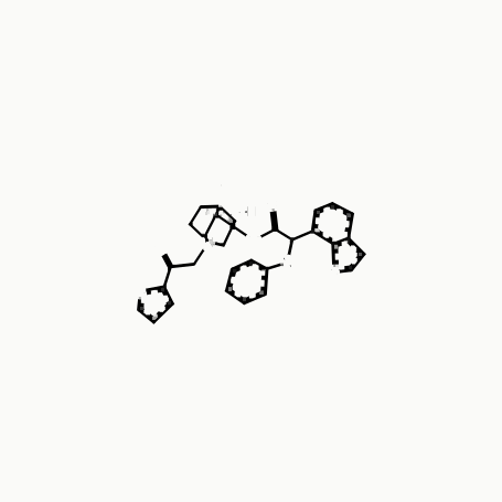 O=C(C[N+]12CCC(CC1)[C@@H](OC(=O)C(Nc1ccccc1)c1cccc3ccsc13)C2)c1cccs1.[Cl-]